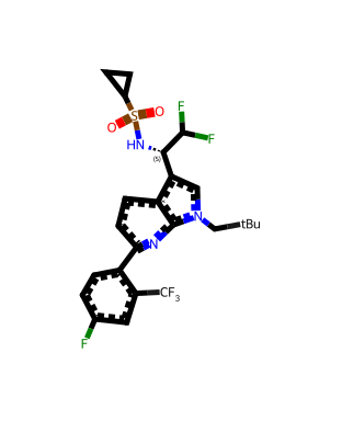 CC(C)(C)Cn1cc([C@H](NS(=O)(=O)C2CC2)C(F)F)c2ccc(-c3ccc(F)cc3C(F)(F)F)nc21